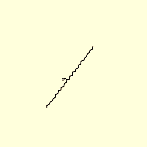 CCCCCCCCCCCCCCCCCCC(C=O)CCCCCCCCCCCCCCC